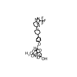 CC1(C)O[C@@H]2[C@@H](COc3ccc(C4CCN(C5=Nn6c(nnc6C(F)(F)F)CC5)CC4)cc3)OC(CC(=O)O)[C@@H]2O1